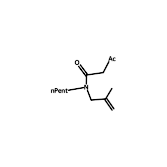 C=C(C)CN(CCCCC)C(=O)CC(C)=O